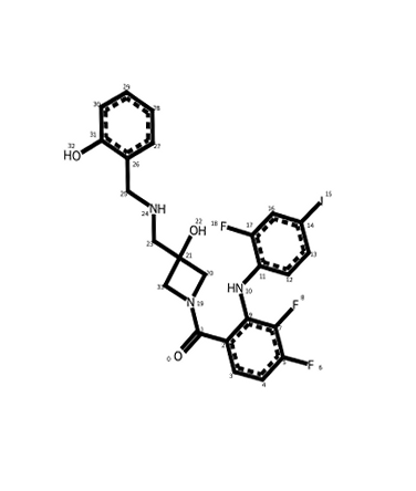 O=C(c1ccc(F)c(F)c1Nc1ccc(I)cc1F)N1CC(O)(CNCc2ccccc2O)C1